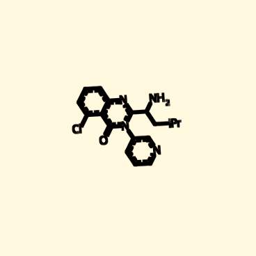 CC(C)CC(N)c1nc2cccc(Cl)c2c(=O)n1-c1cccnc1